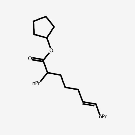 CCC/C=C/CCCC(CCC)C(=O)OC1CCCC1